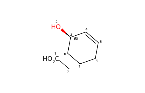 CC(=O)O.O[C@H]1C=CCCC1